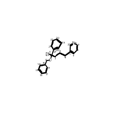 [CH2]CC(CCCc1cccnc1)(OCc1ccccc1)c1ccccc1